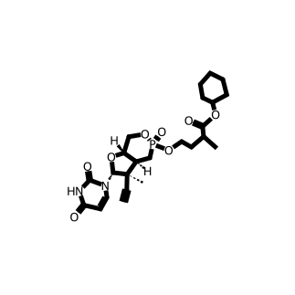 C#C[C@]1(C)[C@@H]2CP(=O)(OCCC(C)C(=O)OC3CCCCC3)OC[C@H]2O[C@H]1n1ccc(=O)[nH]c1=O